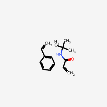 C=CC(=O)NC(C)(C)C.C=Cc1ccccc1